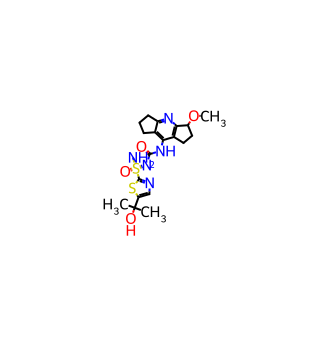 COC1CCc2c1nc1c(c2NC(=O)N=S(N)(=O)c2ncc(C(C)(C)O)s2)CCC1